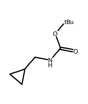 CC(C)(C)OC(=O)NC[C]1CC1